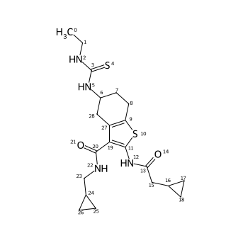 CCNC(=S)NC1CCc2sc(NC(=O)CC3CC3)c(C(=O)NCC3CC3)c2C1